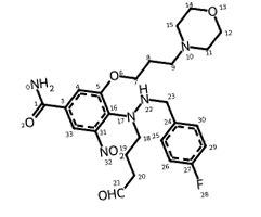 NC(=O)c1cc(OCCCN2CCOCC2)c(N(CCCC=O)NCc2ccc(F)cc2)c([N+](=O)[O-])c1